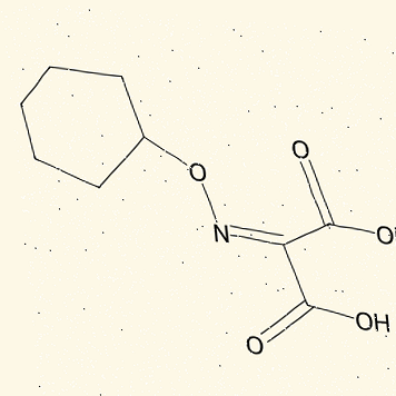 O=C(O)C(=NOC1CCCCC1)C(=O)O